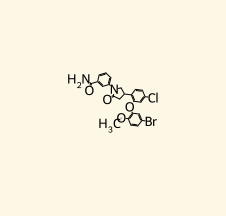 COc1ccc(Br)cc1Oc1cc(Cl)ccc1C1CC(=O)N(c2cccc(C(N)=O)c2)C1